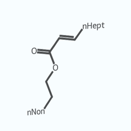 CCCCCCCC=CC(=O)OCCCCCCCCCCC